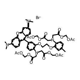 CC(=O)OCOC(=O)CN(CC(=O)OCOC(C)=O)c1ccc(C)cc1OCCOc1cc(-c2c3ccc(=[N+](C)C)cc-3oc3cc(N(C)C)ccc23)ccc1N(CC(=O)OCOC(C)=O)CC(=O)OCOC(C)=O.[Br-]